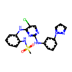 CS(=O)(=O)Nc1ccccc1Nc1nc(Nc2cccc(-n3cccn3)c2)ncc1Cl